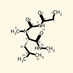 CCC(=O)NC(=O)N(C)[C@@H](CC(C)C)C(=O)NC